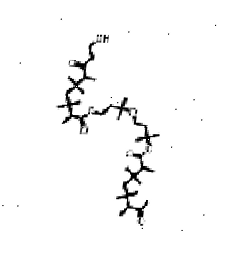 CC(=O)C(C)C(C)(C)CC(C)(C)C(C)C(=O)OC(C)(C)CCOC(C)(C)CCOC(=O)C(C)C(C)(C)CC(C)(C)C(C)C(=O)CCO